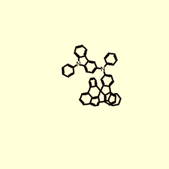 c1ccc(N(c2ccc3c(c2)C2(c4ccccc4-3)c3ccccc3-c3cccc4ccc(C5CCCCC5)c2c34)c2ccc3c(c2)c2ccccc2n3-c2ccccc2)cc1